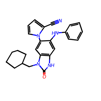 N#Cc1cccn1-c1cc2c(cc1Nc1ccccc1)[nH]c(=O)n2CC1CCCCC1